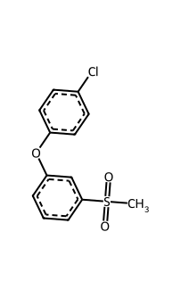 CS(=O)(=O)c1cccc(Oc2ccc(Cl)cc2)c1